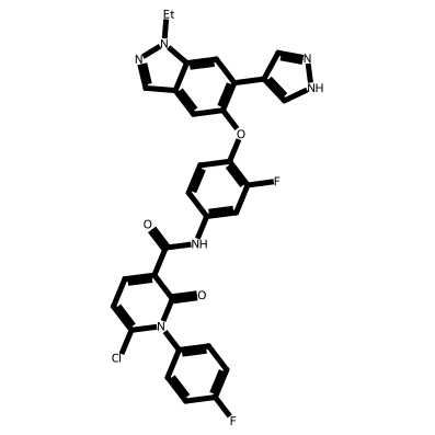 CCn1ncc2cc(Oc3ccc(NC(=O)c4ccc(Cl)n(-c5ccc(F)cc5)c4=O)cc3F)c(-c3cn[nH]c3)cc21